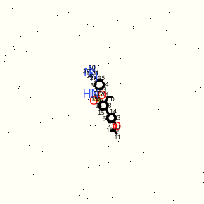 CCc1cc(-c2ccc(OC(C)C)cc2)ccc1S(=O)(=O)N[C@H]1CCC[C@@H](n2cnnc2)C1